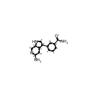 NC(=O)c1cccc(-c2c[nH]c3cnc(N)cc23)c1